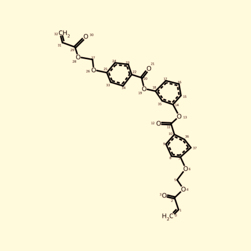 C=CC(=O)OCOc1ccc(C(=O)Oc2cccc(OC(=O)c3ccc(OCOC(=O)C=C)cc3)c2)cc1